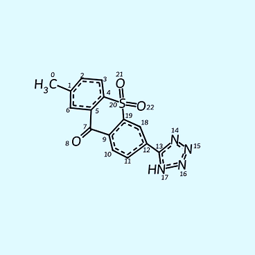 Cc1ccc2c(c1)C(=O)c1ccc(-c3nnn[nH]3)cc1S2(=O)=O